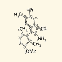 COc1ccc(C)c(-c2c(N)c(C#N)c3cc(C(C)C)c(C)nn23)c1C